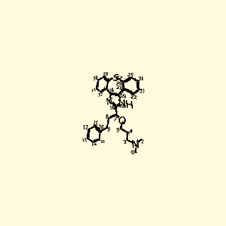 CN(C)CCCOC(CCc1ccccc1)c1nc2c([nH]1)-c1ccccc1Sc1ccccc1-2